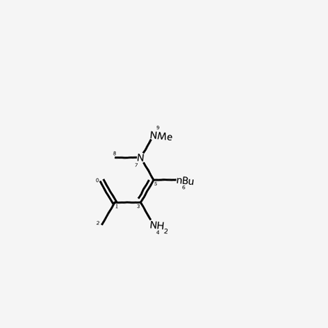 C=C(C)/C(N)=C(/CCCC)N(C)NC